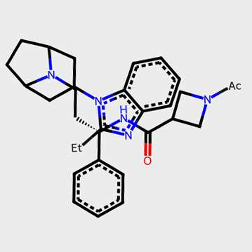 CCc1nc2ccccc2n1C1CC2CCC(C1)N2CC[C@H](NC(=O)C1CN(C(C)=O)C1)c1ccccc1